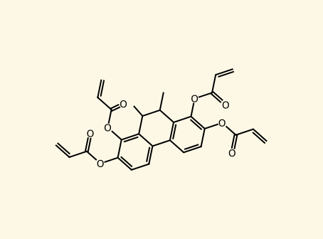 C=CC(=O)Oc1ccc2c(c1OC(=O)C=C)C(C)C(C)c1c-2ccc(OC(=O)C=C)c1OC(=O)C=C